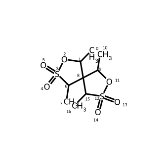 CC1OS(=O)(=O)C(C)C12C(C)OS(=O)(=O)C2C